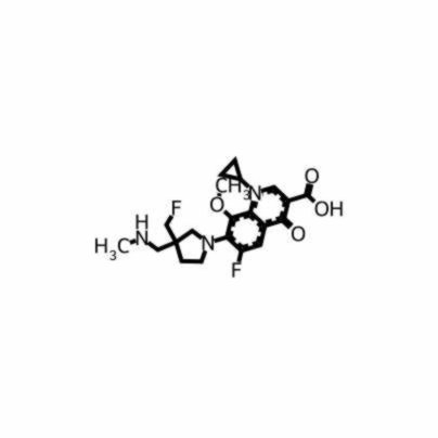 CNCC1(CF)CCN(c2c(F)cc3c(=O)c(C(=O)O)cn(C4CC4)c3c2OC)C1